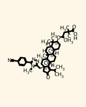 CC(C)C1=C2[C@H]3CC[C@H]4C(C)(CC[C@H]5C(C)(C)[C@@H](OC(=O)CC(C)(C)C(=O)O)CC[C@@]54C)[C@]3(C)CC[C@@]2(Cc2nnc(-c3ccc(C#N)cc3)n2C)CC1=O